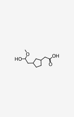 COC(O)CC1CCC(CC(=O)O)C1